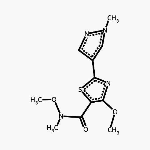 COc1nc(-c2cnn(C)c2)sc1C(=O)N(C)OC